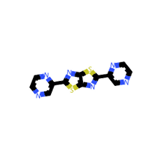 c1cnc(-c2nc3sc(-c4cnccn4)nc3s2)cn1